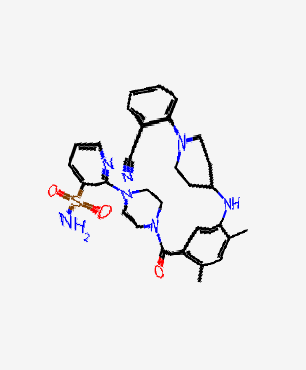 Cc1cc(C)c(C(=O)N2CCN(c3ncccc3S(N)(=O)=O)CC2)cc1NC1CCN(c2ccccc2C#N)CC1